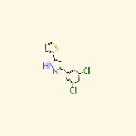 Clc1cc(Cl)cc(C2=NNC(c3cccs3)C2)c1